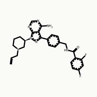 C=CCN1CCC[C@@H](n2nc(-c3ccc(CNC(=O)c4ccc(F)cc4F)cc3)c3c(N)ncnc32)C1